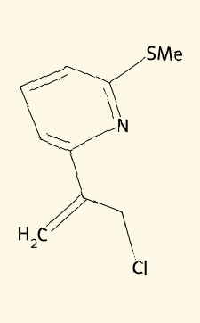 C=C(CCl)c1cccc(SC)n1